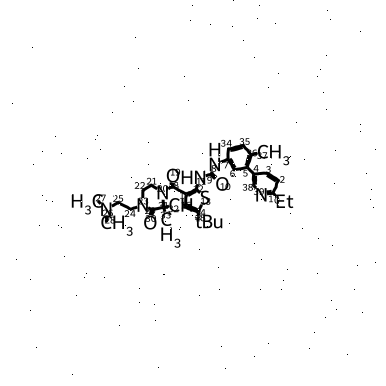 CCc1ccc(-c2cc(NC(=O)Nc3sc(C(C)(C)C)cc3C(=O)N3CCN(CCN(C)C)C(=O)C3(C)C)ccc2C)cn1